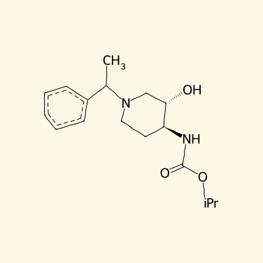 CC(C)OC(=O)N[C@H]1CCN(C(C)c2ccccc2)C[C@@H]1O